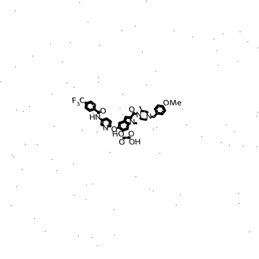 COc1ccc(CN2CCN(C(=O)c3cc4cc(Oc5ccc(NC(=O)c6ccc(C(F)(F)F)cc6)cn5)ccc4n3C)[C@@H](C)C2)cc1.O=C(O)C(=O)O